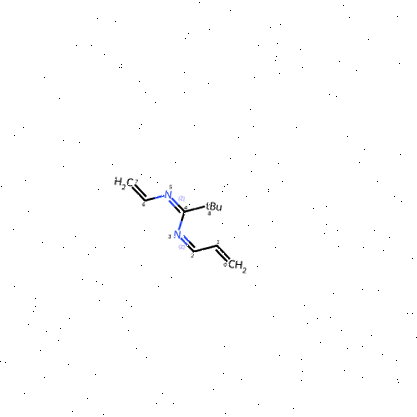 C=C/C=N\C(=N/C=C)C(C)(C)C